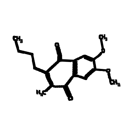 CCCCC1=C(C)C(=O)c2cc(OC)c(OC)cc2C1=O